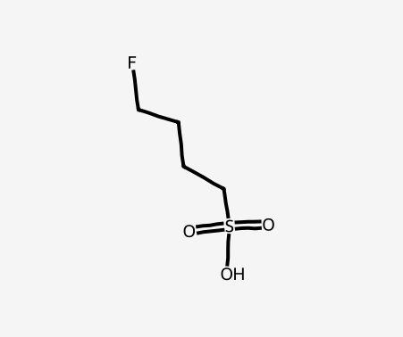 O=S(=O)(O)CCCCF